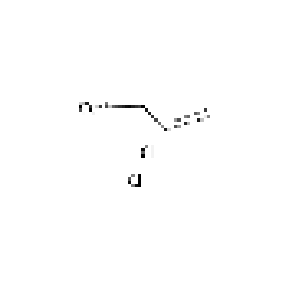 C=C[CH2][Ce+2].[Cl-].[Cl-]